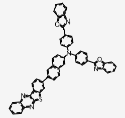 c1ccc2nc3c(nc2c1)sc1cc(-c2ccc4cc(N(c5ccc(-c6nc7ccccc7o6)cc5)c5ccc(-c6nc7ccccc7o6)cc5)ccc4c2)ccc13